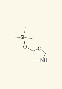 C[Si](C)(C)OC1CNCO1